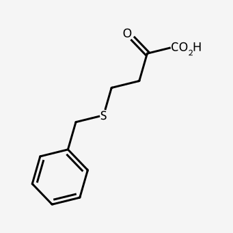 O=C(O)C(=O)CCSCc1ccccc1